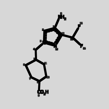 Nc1cn(CC2CCC(C(=O)O)CC2)nc1C(F)F